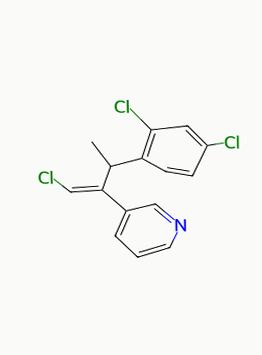 CC(C(=CCl)c1cccnc1)c1ccc(Cl)cc1Cl